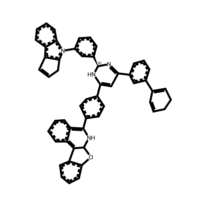 C1=CC(c2cccc(C3=N[C@H](c4cccc(-n5c6c(c7ccccc75)C=CC6)c4)NC(c4ccc(C5=c6ccccc6=C6c7ccccc7OC6N5)cc4)=C3)c2)=CCC1